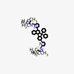 CC1(C)N=C(c2cccc(-c3ccc4c(c3)C(c3ccccc3)(c3ccccc3)c3cc(-c5cccc(C6=NC(C)(C)C(C)(C)S6)n5)c5ccccc5c3-4)n2)SC1(C)C